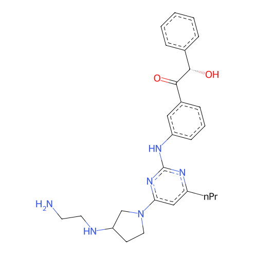 CCCc1cc(N2CCC(NCCN)C2)nc(Nc2cccc(C(=O)[C@@H](O)c3ccccc3)c2)n1